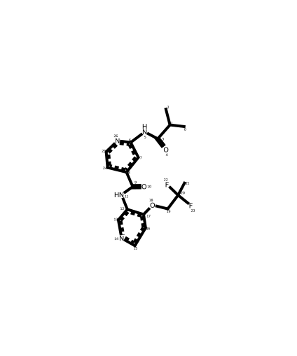 CC(C)C(=O)Nc1cc(C(=O)Nc2cnccc2OCC(C)(F)F)ccn1